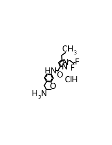 CCCc1cc(C(=O)Nc2ccc3c(c2)OCC(N)C3)nn1CC(F)F.Cl